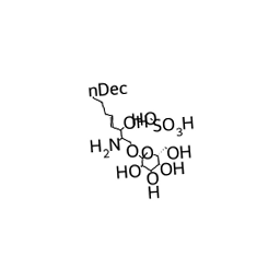 CCCCCCCCCCCCC/C=C/C(O)C(N)COC1O[C@H](CO)[C@H](O)[C@H](O)[C@H]1O.O=S(=O)(O)O